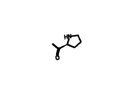 CC(=O)[C@@H]1CCCN1